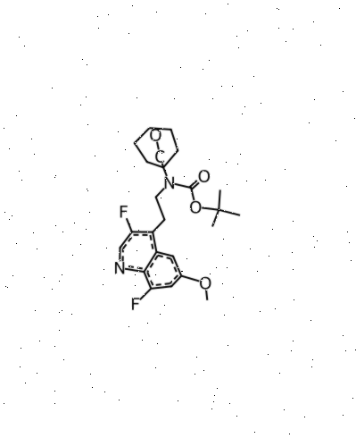 COc1cc(F)c2ncc(F)c(CCN(C(=O)OC(C)(C)C)C34CCC(CC3)OC4)c2c1